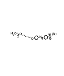 C=CC(=O)OCCCCCCOc1ccc(/N=N/c2ccc(S(=O)(=O)C[C@H](C)CC)cc2)cc1